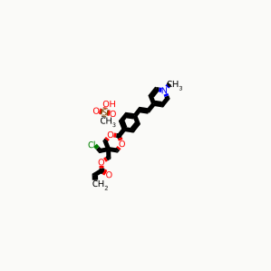 C=CC(=O)OCC1(CCl)COC(c2ccc(C=CC3=CCN(C)C=C3)cc2)OC1.CS(=O)(=O)O